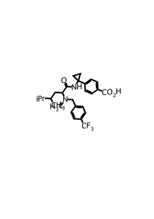 CC(C)C(C)CC(C(=O)NC1(c2ccc(C(=O)O)cc2)CC1)N(C)Cc1ccc(C(F)(F)F)cc1